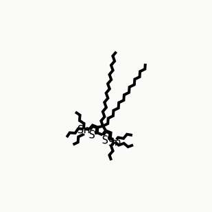 CCCCCCCCCCCCCCCCC1(CCCCCCCCCCCCCCCC)c2c[c]([Sn]([CH2]CCC)([CH2]CCC)[CH2]CCC)sc2-c2s[c]([Sn]([CH2]CCC)([CH2]CCC)[CH2]CCC)cc21